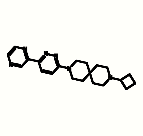 c1cnc(-c2ccc(N3CCC4(CC3)CCN(C3CCC3)CC4)nn2)cn1